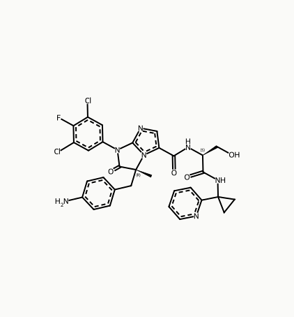 C[C@@]1(Cc2ccc(N)cc2)C(=O)N(c2cc(Cl)c(F)c(Cl)c2)c2ncc(C(=O)N[C@@H](CO)C(=O)NC3(c4ccccn4)CC3)n21